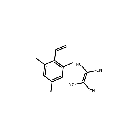 C=Cc1c(C)cc(C)cc1C.N#CC(C#N)=C(C#N)C#N